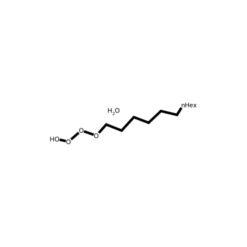 CCCCCCCCCCCCOOOO.O